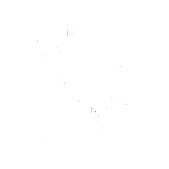 CCCCNC1(c2cccc(C(=O)OC(C)(C)C)c2C)C=CC=CC1